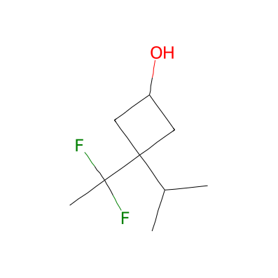 CC(C)C1(C(C)(F)F)CC(O)C1